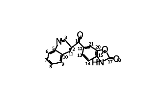 O=C(c1cnc2ccccc2c1)c1ccc2[nH]c(=O)oc2c1